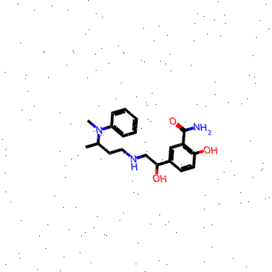 CC(CCNCC(O)c1ccc(O)c(C(N)=O)c1)N(C)c1ccccc1